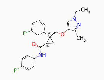 CCn1cc(OC[C@@]2(C3C=CC=C(F)C3)C[C@H]2C(=O)Nc2ccc(F)cc2)c(C)n1